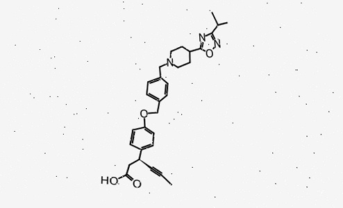 CC#C[C@@H](CC(=O)O)c1ccc(OCc2ccc(CN3CCC(c4nc(C(C)C)no4)CC3)cc2)cc1